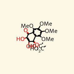 CC(=O)O.CC(=O)O.COc1c(OC)c(OC)c2c(c1OC)C(=O)C(O)=C(O)C2=O